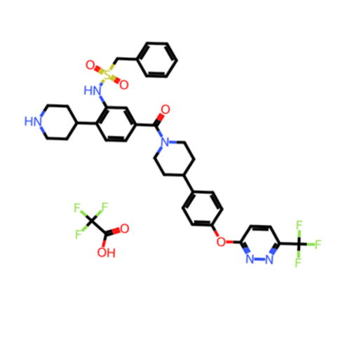 O=C(O)C(F)(F)F.O=C(c1ccc(C2CCNCC2)c(NS(=O)(=O)Cc2ccccc2)c1)N1CCC(c2ccc(Oc3ccc(C(F)(F)F)nn3)cc2)CC1